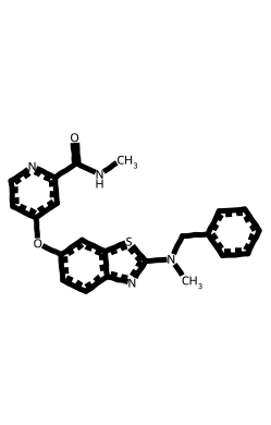 CNC(=O)c1cc(Oc2ccc3nc(N(C)Cc4ccccc4)sc3c2)ccn1